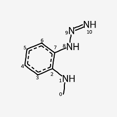 CNc1ccccc1NN=N